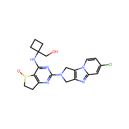 [O-][S+]1CCc2nc(N3Cc4nc5cc(Cl)ccn5c4C3)nc(NC3(CO)CCC3)c21